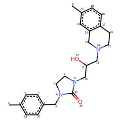 Cc1ccc(CN2CCN(CC(O)CN3CCc4ccc(C)cc4C3)C2=O)cc1